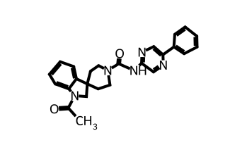 CC(=O)N1CC2(CCN(C(=O)Nc3cnc(-c4ccccc4)cn3)CC2)c2ccccc21